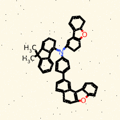 CC1(C)C2=CCCC(N(C3=CC4=C(CC3)OC3CC=CC=C43)c3ccc(-c4ccc5ccc6oc7ccccc7c6c5c4)cc3)=C2c2ccccc21